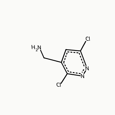 NCc1cc(Cl)nnc1Cl